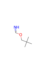 CC(C)(C)COC=N